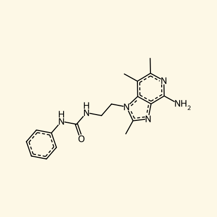 Cc1nc(N)c2nc(C)n(CCNC(=O)Nc3ccccc3)c2c1C